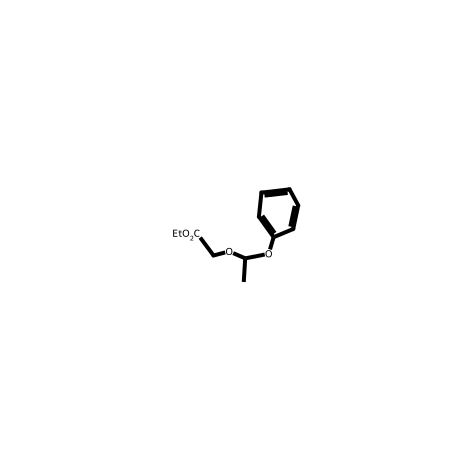 CCOC(=O)COC(C)Oc1ccccc1